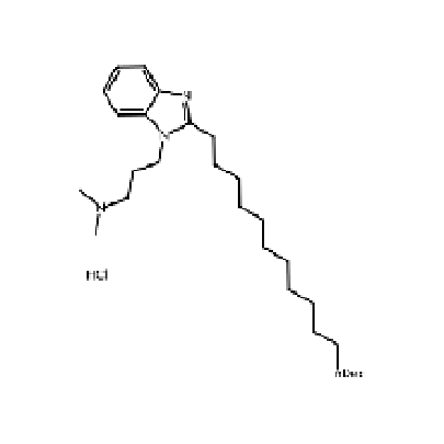 CCCCCCCCCCCCCCCCCCCCCc1nc2ccccc2n1CCCN(C)C.Cl